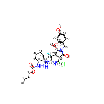 CCCCOC(=O)N[C@@H]1CCCC[C@@H]1Nc1nc(Cl)c2c(c1F)CN(Cc1ccc(OC)cc1OC)C2=O